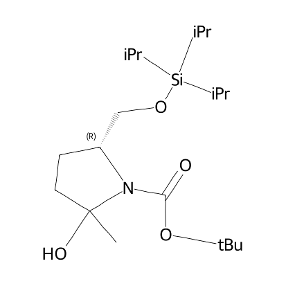 CC(C)[Si](OC[C@H]1CCC(C)(O)N1C(=O)OC(C)(C)C)(C(C)C)C(C)C